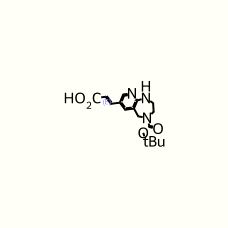 CC(C)(C)OC(=O)N1CCNc2ncc(/C=C/C(=O)O)cc2C1